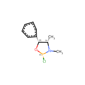 C[C@H]1[C@@H](c2ccccc2)O[P@](Cl)N1C